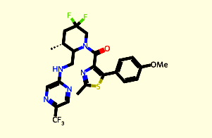 COc1ccc(-c2sc(C)nc2C(=O)N2CC(F)(F)C[C@@H](C)C2CNc2cnc(C(F)(F)F)cn2)cc1